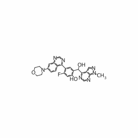 Cn1ncc2c(C(O)c3cc(-c4ncnc5cc(N6CCOCC6)ccc45)c(F)cc3O)ncnc21